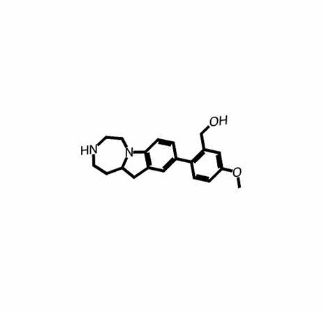 COc1ccc(-c2ccc3c(c2)CC2CCNCCN32)c(CO)c1